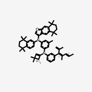 C=C(C)/C(=C(C)\C=C\C)c1cccc(N(C2=CC(C)(C)[C@H]2C)c2cc(C)cc(N(c3ccc4c(c3)C(C)(C)CCC4(C)C)c3coc4cc5c(cc34)C(C)(C)CCC5(C)C)c2)c1